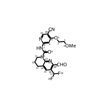 COCCOc1cc(NC(=O)N2CCCc3cc(C(F)F)c(C=O)nc32)ncc1C#N